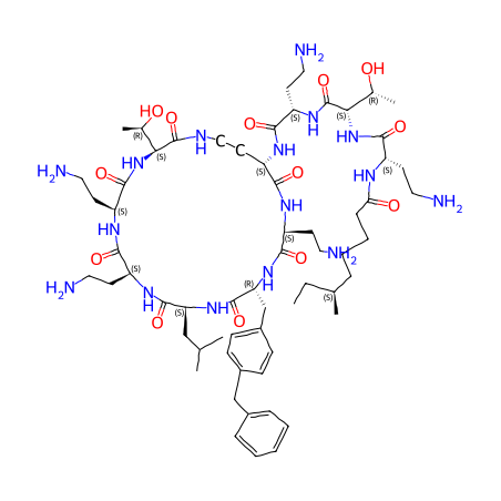 CC[C@H](C)CCCCC(=O)N[C@@H](CCN)C(=O)N[C@H](C(=O)N[C@@H](CCN)C(=O)N[C@H]1CCNC(=O)[C@H]([C@@H](C)O)NC(=O)[C@H](CCN)NC(=O)[C@H](CCN)NC(=O)[C@H](CC(C)C)NC(=O)[C@@H](Cc2ccc(Cc3ccccc3)cc2)NC(=O)[C@H](CCN)NC1=O)[C@@H](C)O